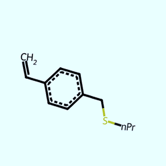 C=Cc1ccc(CSCCC)cc1